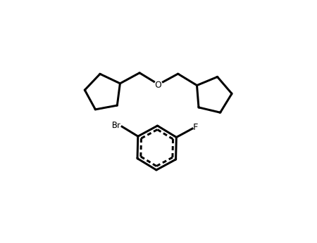 C1CCC(COCC2CCCC2)C1.Fc1cccc(Br)c1